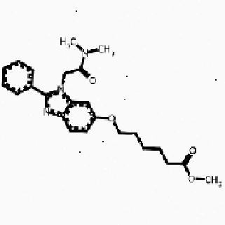 COC(=O)CCCCCOc1ccc2nc(-c3ccccc3)n(CC(=O)N(C)C)c2c1